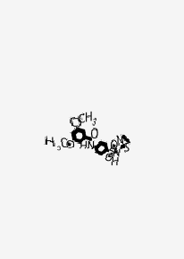 COc1cc(OC)cc(C(=O)Nc2ccc(S(=O)(=O)Nc3nccs3)cc2)c1